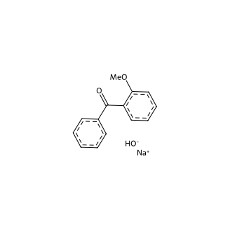 COc1ccccc1C(=O)c1ccccc1.[Na+].[OH-]